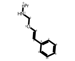 CCCNCOC=Cc1ccccc1